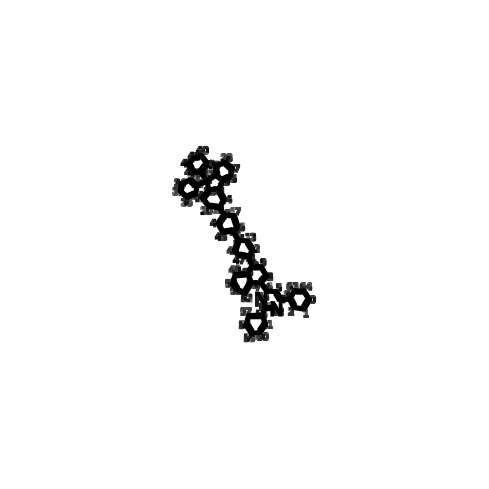 c1ccc(-c2cc(-c3ccc(-c4ccc(-c5ccc(-c6ccc7c(c6)-c6ccccc6C7(c6ccccc6)c6ccccc6)cc5)cc4)c4ccccc34)nc(-c3ccccc3)n2)cc1